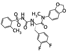 Cc1ccccc1S(=O)(=O)NC(=O)N[C@@H](Cc1ccc(F)c(F)c1)C(=O)N(C)c1ccc2c(c1)OCO2